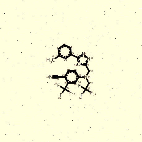 Cc1cccc(-c2nnc(CN(CC(F)(F)F)c3ccc(C#N)c(C(F)(F)F)c3)o2)c1